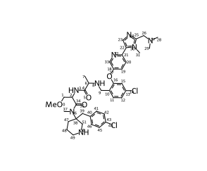 COCC(NC(=O)C(C)NCc1ccc(Cl)cc1Oc1ccc(-c2cnc(CN(C)C)n2C)nc1)C(=O)N(C)C1(Cc2ccc(Cl)cc2)CCCNC1